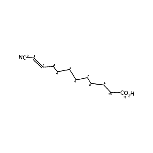 N#CC=CCCCCCCCCC(=O)O